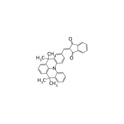 CC1(C)c2ccccc2N2c3ccc(C=C4C(=O)c5ccccc5C4=O)cc3C(C)(C)c3cccc1c32